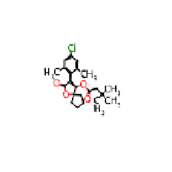 Cc1cc(Cl)cc(C)c1C1=C(OC(=O)CC(C)(C)C)C2(CCCC2)OC1=O